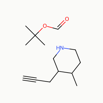 C#CCC1CNCCC1C.CC(C)(C)OC=O